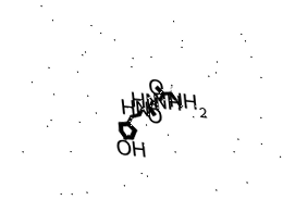 C[C@H](N)C(=O)NNC(=O)NCCc1ccc(O)cc1